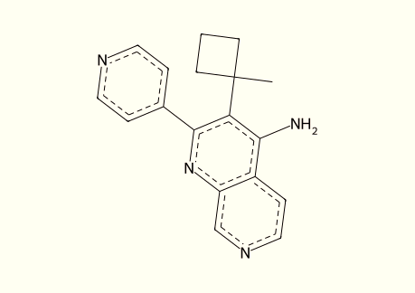 CC1(c2c(-c3ccncc3)nc3cnccc3c2N)CCC1